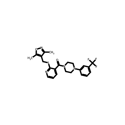 Cc1noc(C)c1CSc1ncccc1C(=O)N1CCN(c2cccc(C(F)(F)F)c2)CC1